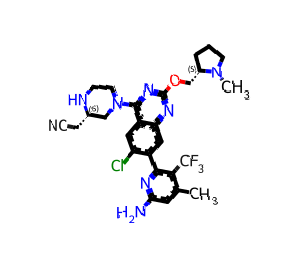 Cc1cc(N)nc(-c2cc3nc(OC[C@@H]4CCCN4C)nc(N4CCN[C@@H](CC#N)C4)c3cc2Cl)c1C(F)(F)F